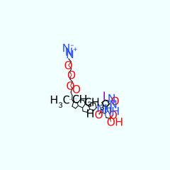 C[C@H](CCC(=O)OCCOCCOCCN=[N+]=[N-])C1CCC2C3CC[C@@H]4C[C@H](NC(=O)[C@H](CC(=O)O)Nc5ccc(I)c6nonc56)CC[C@]4(C)C3CC[C@@]21C